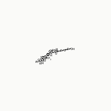 COC(=O)C(CCC(=O)NCCCOCCOCCOCCO)NC(=O)c1ccc(N(Cc2cnc3nc(NC(=O)C(C)C)[nH]c(=O)c3n2)C(=O)C(F)(F)F)cc1